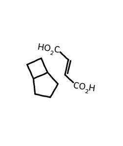 C1CC2CCC2C1.O=C(O)C=CC(=O)O